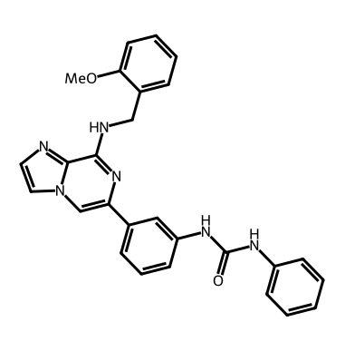 COc1ccccc1CNc1nc(-c2cccc(NC(=O)Nc3ccccc3)c2)cn2ccnc12